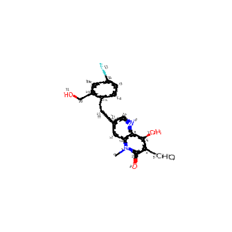 Cn1c(=O)c(C=O)c(O)c2ncc(Cc3ccc(F)cc3CO)cc21